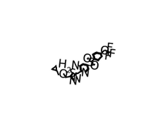 Nc1cc(S(=O)(=O)c2ccc(OC(F)(F)F)cc2)cnc1-c1nnc(COCC2CC2)s1